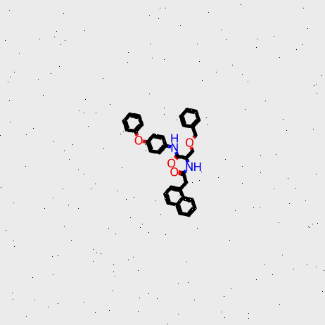 O=C(Cc1cccc2ccccc12)NC(COCc1ccccc1)C(=O)Nc1ccc(Oc2ccccc2)cc1